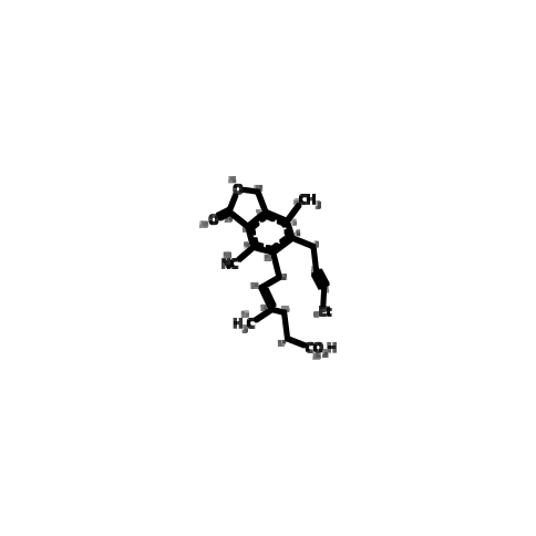 CCC#CCc1c(C)c2c(c(C#N)c1CC=C(C)CCC(=O)O)C(=O)OC2